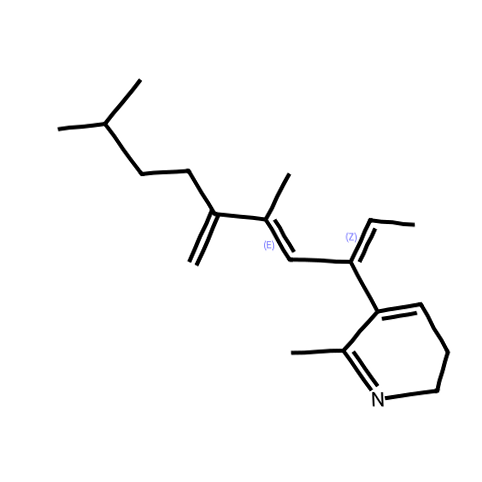 C=C(CCC(C)C)/C(C)=C/C(=C/C)C1=CCCN=C1C